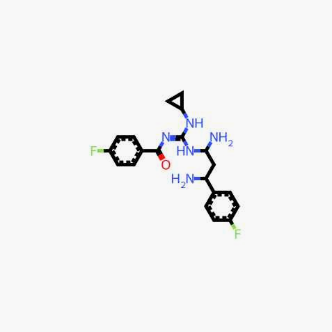 NC(CC(N)c1ccc(F)cc1)N/C(=N\C(=O)c1ccc(F)cc1)NC1CC1